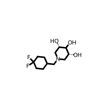 OC1[C@H](O)CN(CC2CCC(F)(F)CC2)C[C@@H]1O